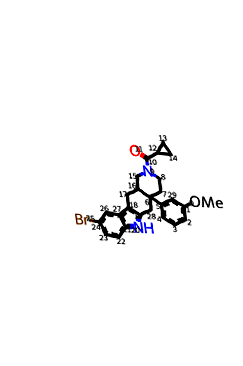 COc1cccc(C23CCN(C(=O)C4CC4)CC2Cc2c([nH]c4ccc(Br)cc24)C3)c1